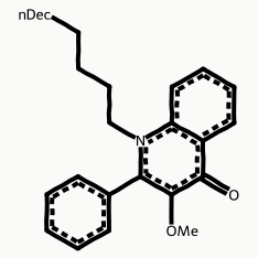 CCCCCCCCCCCCCCn1c(-c2ccccc2)c(OC)c(=O)c2ccccc21